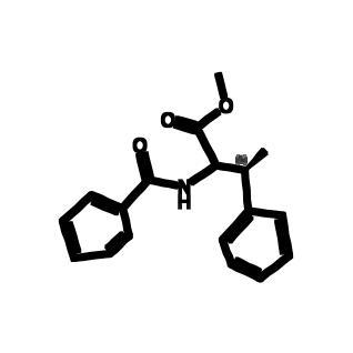 COC(=O)C(NC(=O)c1ccccc1)[C@@H](C)c1ccccc1